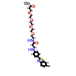 Cc1ccc2nc(-c3ccc(NCCC(=O)NCCOCCOCCOCCOCCC(=O)C(C)(C)C)cc3)sc2c1